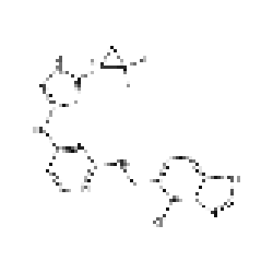 FC1(F)C[C@H]1c1cc(Nc2ccnc(NCc3ccc4[nH]cnc4c3Cl)n2)n[nH]1